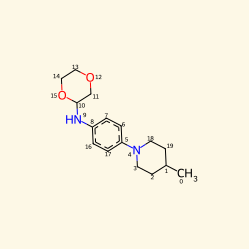 CC1CCN(c2ccc(NC3COCCO3)cc2)CC1